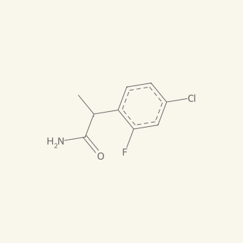 C[C](C(N)=O)c1ccc(Cl)cc1F